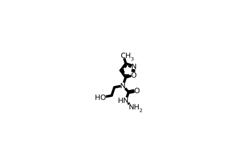 Cc1cc(N(CCO)C(=O)NN)on1